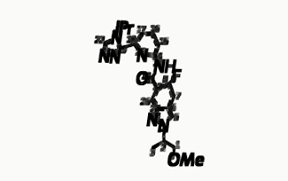 COC[C@@H](C)n1cc2cc(F)c(C(=O)Nc3cccc(-c4nncn4C(C)C)n3)cc2n1